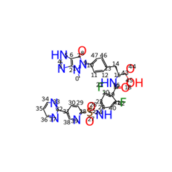 Cn1c2nc[nH]c2c(=O)n1-c1ccc(C[C@H](NC(=O)c2c(F)cc(NS(=O)(=O)c3ccc(-c4ncccn4)cn3)cc2F)C(=O)O)cc1